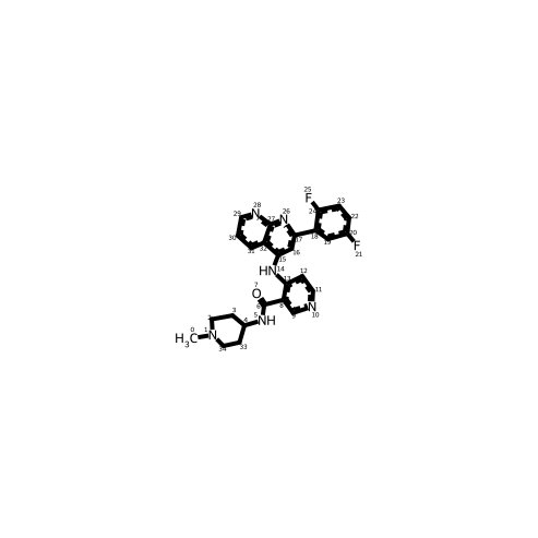 CN1CCC(NC(=O)c2cnccc2Nc2cc(-c3cc(F)ccc3F)nc3ncccc23)CC1